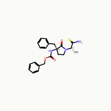 CCC[C@@H](C(N)=S)N1CC[C@](Cc2ccccc2)(NC(=O)OCc2ccccc2)C1=O